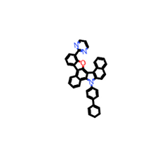 C1=CC(c2ccc(-n3c4ccc5ccccc5c4c4c5oc6c(-c7ncccn7)cccc6c5c5ccccc5c43)cc2)=CCC1